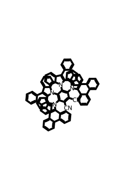 N#Cc1c(C#N)c(-n2c3ccccc3c3c4ccccc4c4ccccc4c32)c(-n2c3ccccc3c3c4ccccc4c4ccccc4c32)c(-n2c3ccccc3c3c4ccccc4c4ccccc4c32)c1-n1c2ccccc2c2c3ccccc3c3ccccc3c21